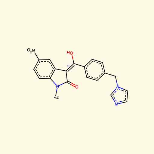 CC(=O)N1C(=O)/C(=C(/O)c2ccc(Cn3ccnc3)cc2)c2cc([N+](=O)[O-])ccc21